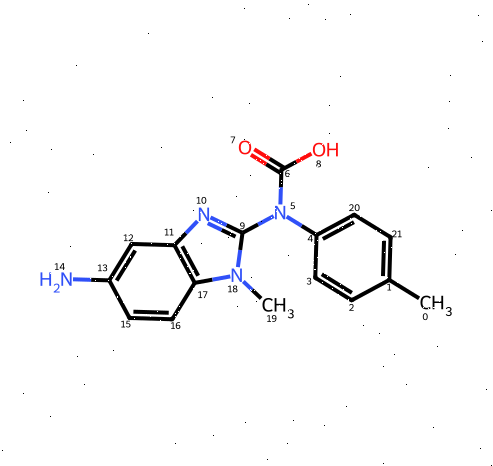 Cc1ccc(N(C(=O)O)c2nc3cc(N)ccc3n2C)cc1